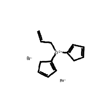 C=C[CH2][Zr+2]([C]1=CC=CC1)[C]1=CC=CC1.[Br-].[Br-]